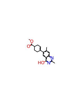 COC(=O)C1CC=C(c2cc3c(O)nc(C)nc3cc2C)CC1